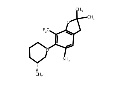 [CH2][C@@H]1CCCN(c2c(N)cc3c(c2C(F)(F)F)OC(C)(C)C3)C1